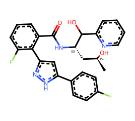 C[C@H](O)C[C@H](NC(=O)c1cccc(F)c1-c1cc(-c2ccc(F)cc2)[nH]n1)C(O)c1ccccn1